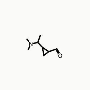 [CH2]C(C1CC1C=O)N(C)C